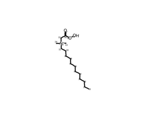 CCCCCCCCCCCC[N+](C)(C)CC(=O)OO